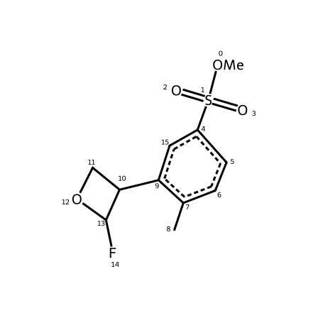 COS(=O)(=O)c1ccc(C)c(C2COC2F)c1